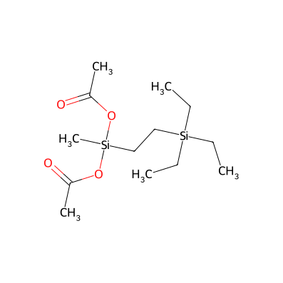 CC[Si](CC)(CC)CC[Si](C)(OC(C)=O)OC(C)=O